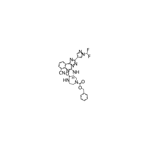 N#Cc1cccc2c1nc(N[C@@H]1CN(C(=O)OCc3ccccc3)CCNC1=O)n1nc(-c3cnn(C(F)F)c3)nc21